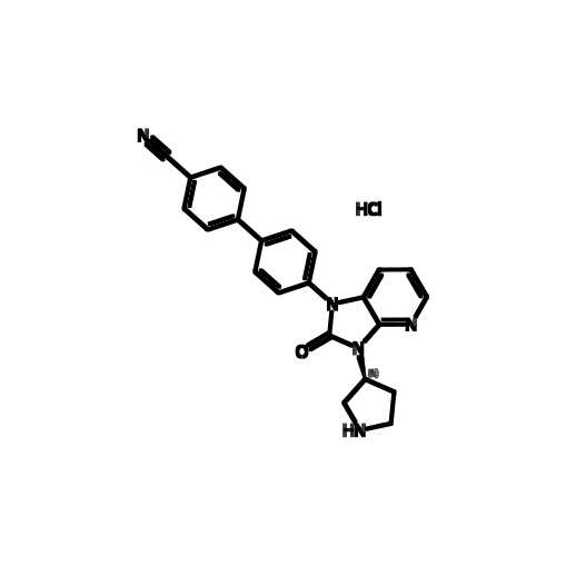 Cl.N#Cc1ccc(-c2ccc(-n3c(=O)n([C@H]4CCNC4)c4ncccc43)cc2)cc1